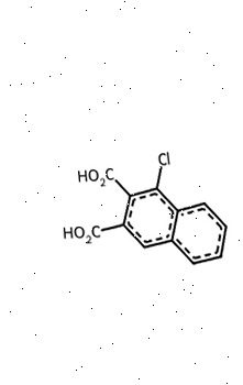 O=C(O)c1cc2ccccc2c(Cl)c1C(=O)O